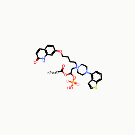 CCCCCC(=O)OC(C[N+]1(CCCCOc2ccc3ccc(=O)[nH]c3c2)CCN(c2cccc3sccc23)CC1)OP(=O)([O-])O